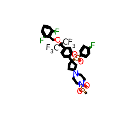 CS(=O)(=O)N1CCN(C2CCC(c3ccc(C(OCc4c(F)cccc4F)(C(F)(F)F)C(F)(F)F)cc3)(S(=O)(=O)c3ccc(F)cc3)C2)CC1